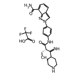 CC[C@@H](C(=N)C1CCNCC1)C(=O)Nc1ccc(-n2cc3cccc(C(N)=O)c3n2)cc1.O=C(O)C(F)(F)F